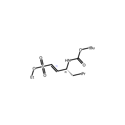 CCOS(=O)(=O)/C=C/[C@@H](CC(C)C)NC(=O)OC(C)(C)C